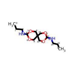 CCCNC1OCC2(CO1)COC(NCCC)OC2